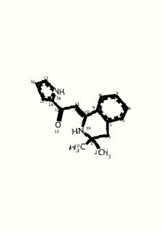 CC1(C)Cc2ccccc2C(=CC(=O)c2ccc[nH]2)N1